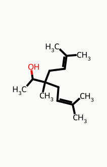 CC(C)=CCC(C)(CC=C(C)C)C(C)O